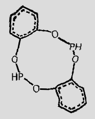 c1ccc2c(c1)OPOc1ccccc1OPO2